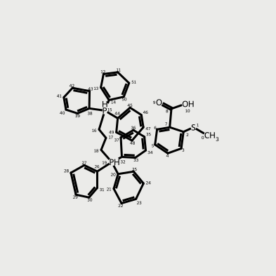 CSc1ccccc1C(=O)O.c1ccc([PH](CCC[PH](c2ccccc2)(c2ccccc2)c2ccccc2)(c2ccccc2)c2ccccc2)cc1